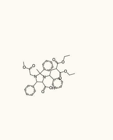 CCOC(=O)C(CC(c1ccccc1)N1C(C(=O)O)C(c2ccccc2)N(CC(=O)OC)C1(C)c1ccccc1)C(=O)OCC